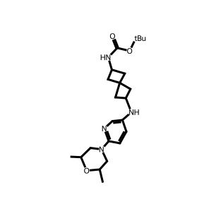 CC1CN(c2ccc(NC3CC4(CC(NC(=O)OC(C)(C)C)C4)C3)cn2)CC(C)O1